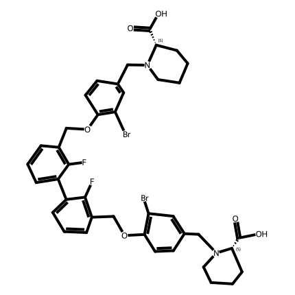 O=C(O)[C@@H]1CCCCN1Cc1ccc(OCc2cccc(-c3cccc(COc4ccc(CN5CCCC[C@H]5C(=O)O)cc4Br)c3F)c2F)c(Br)c1